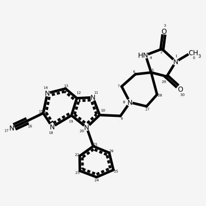 CN1C(=O)NC2(CCN(Cc3nc4cnc(C#N)nc4n3-c3ccccc3)CC2)C1=O